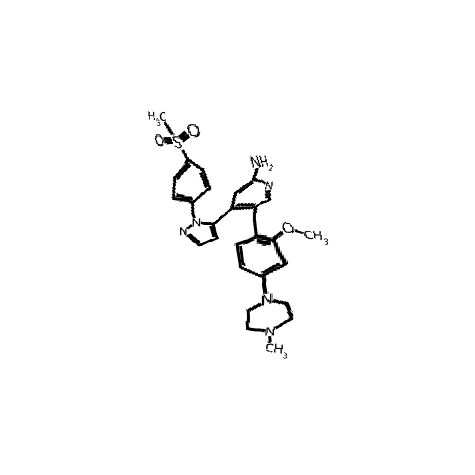 COc1cc(N2CCN(C)CC2)ccc1-c1cnc(N)cc1-c1ccnn1-c1ccc(S(C)(=O)=O)cc1